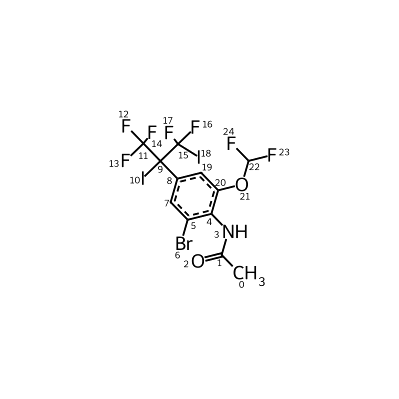 CC(=O)Nc1c(Br)cc(C(I)(C(F)(F)F)C(F)(F)I)cc1OC(F)F